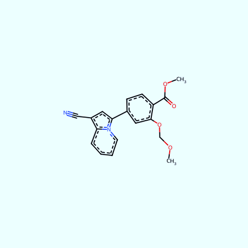 COCOc1cc(-c2cc(C#N)c3ccccn23)ccc1C(=O)OC